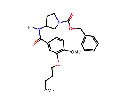 COCCCOc1cc(C(=O)N(C(C)C)C2CCN(C(=O)OCc3ccccc3)C2)ccc1OC